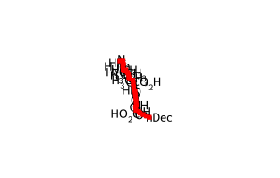 CCCCCCCCCCCCCCCC(=O)N[C@@H](CCC(=O)NCCOCCOCC(=O)NCCCC[C@H](CC(=O)C(C)(C)CC(=O)C(C)(C)CC(=O)C(C)(C)NC(=O)[C@@H](N)Cc1cnc[nH]1)C(=O)O)C(=O)O